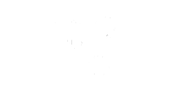 CC#Cc1cccnc1[C@@H](N)c1ccc(C(F)(F)F)cc1.Cl